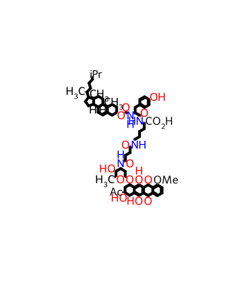 COc1cccc2c1C(=O)c1c(O)c3c(c(O)c1C2=O)C[C@@](O)(C(C)=O)C[C@@H]3O[C@H]1C[C@H](NC(=O)CCC(=O)NCCCC[C@@H](NC(=O)C(Cc2ccc(O)cc2)NC(=O)OC2CCC3(C)C(=CCC4[C@@H]3CCC3(C)C([C@H](C)CCCC(C)C)CC[C@@H]43)C2)C(=O)O)[C@H](O)[C@H](C)O1